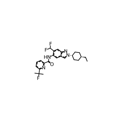 CC[C@H]1CC[C@H](n2cc3cc(NC(=O)c4cccc(C(C)(C)F)n4)c(C(F)F)cc3n2)CC1